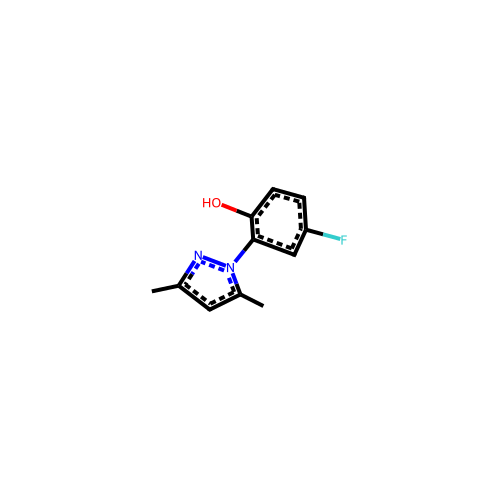 Cc1cc(C)n(-c2cc(F)ccc2O)n1